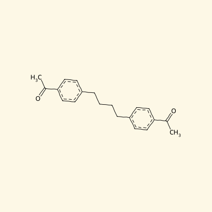 CC(=O)c1ccc(CCCCc2ccc(C(C)=O)cc2)cc1